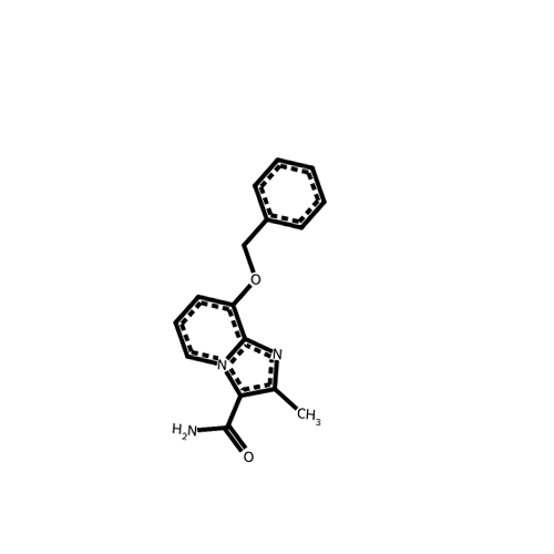 Cc1nc2c(OCc3ccccc3)cccn2c1C(N)=O